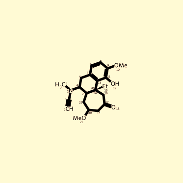 C#CN(C)C1Cc2ccc(OC)c(O)c2[C@]2(CC)CC(=O)CC(OC)CC12